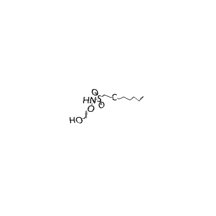 CCCCCCCCCS(=O)(=O)NOC=CO